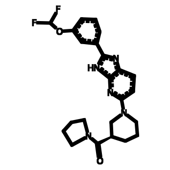 O=C([C@@H]1CCCN(c2ccc3nc(-c4cccc(OC(F)F)c4)[nH]c3n2)C1)N1CCCC1